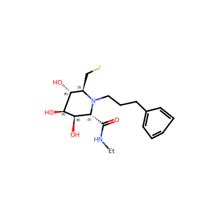 CCNC(=O)[C@@H]1[C@@H](O)[C@@H](O)[C@H](O)[C@@H](CF)N1CCCc1ccccc1